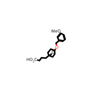 COc1cccc(COC23CCC(CCCC(=O)O)(CC2)CC3)c1